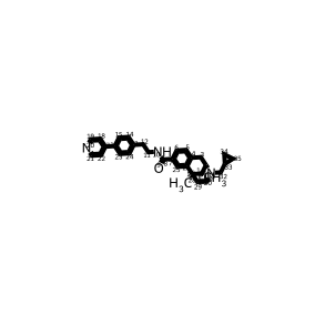 C[C@H]1C2Cc3ccc(C(=O)NCCc4ccc(-c5ccncc5)cc4)cc3[C@@]1(C)CCN2CC1CC1